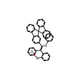 O=C=Nc1ccccc1/C(=C(\Sc1ccccc1)c1ccc2c(c1)C1(c3ccccc3-c3ccccc31)c1ccccc1-2)c1ccccc1